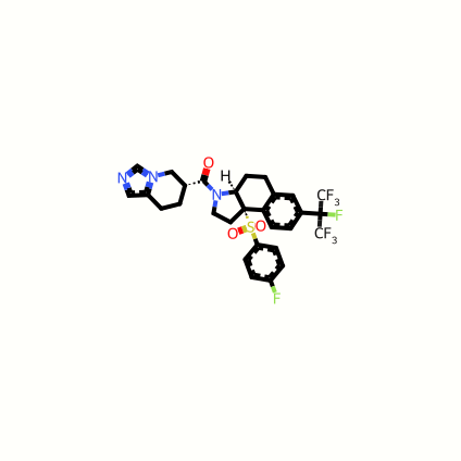 O=C([C@@H]1CCc2cncn2C1)N1CC[C@]2(S(=O)(=O)c3ccc(F)cc3)c3ccc(C(F)(C(F)(F)F)C(F)(F)F)cc3CC[C@H]12